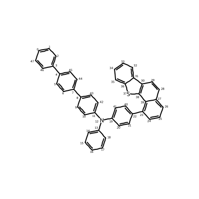 c1ccc(-c2ccc(-c3ccc(N(c4ccccc4)c4ccc(-c5cccc6ccc7c8ccccc8sc7c56)cc4)cc3)cc2)cc1